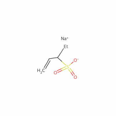 C=CC(CC)S(=O)(=O)[O-].[Na+]